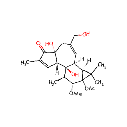 CO[C@@H]1[C@@H](C)[C@@]2(O)[C@@H](C=C(CO)C[C@]3(O)C(=O)C(C)=C[C@@H]23)[C@H]2C(C)(C)C12OC(C)=O